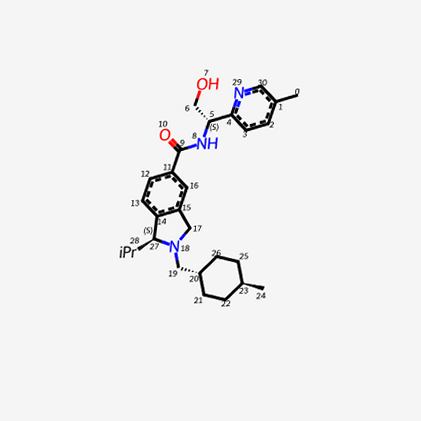 Cc1ccc([C@@H](CO)NC(=O)c2ccc3c(c2)CN(C[C@H]2CC[C@H](C)CC2)[C@H]3C(C)C)nc1